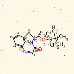 CC(C)(C)[Si](C)(C)OC[C@@H]1Cc2cccc3ncc(=O)n1c23